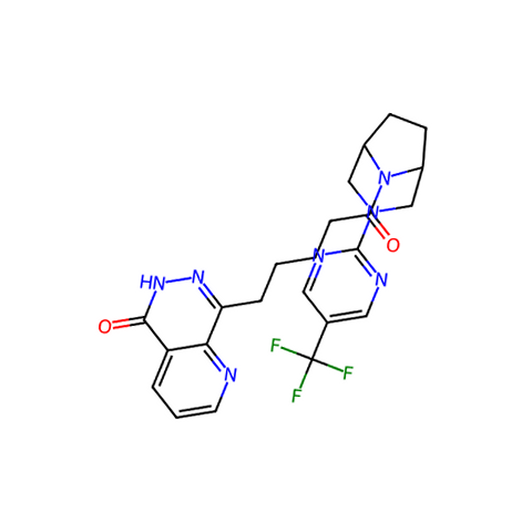 O=C(CCCCc1n[nH]c(=O)c2cccnc12)N1C2CCC1CN(c1ncc(C(F)(F)F)cn1)C2